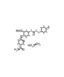 COc1cc(CNCCc2ccc(F)cc2)ccc1Oc1ccc(C(N)=O)cn1.CS(=O)(=O)O